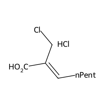 CCCCCC=C(CCl)C(=O)O.Cl